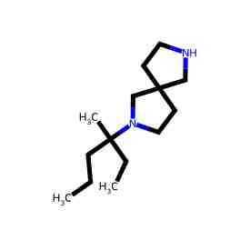 CCCC(C)(CC)N1CCC2(CCNC2)C1